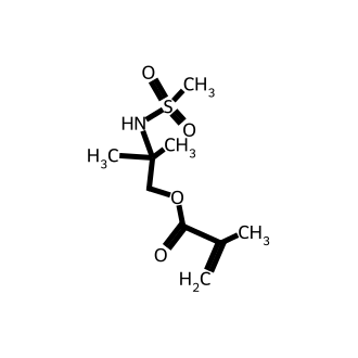 C=C(C)C(=O)OCC(C)(C)NS(C)(=O)=O